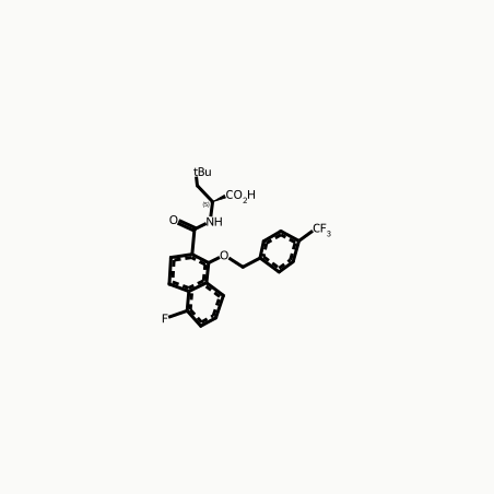 CC(C)(C)C[C@H](NC(=O)c1ccc2c(F)cccc2c1OCc1ccc(C(F)(F)F)cc1)C(=O)O